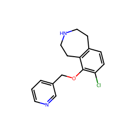 Clc1ccc2c(c1OCc1cccnc1)CCNCC2